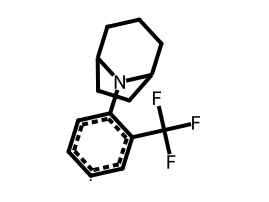 FC(F)(F)c1c[c]ccc1N1C2CCCC1CC2